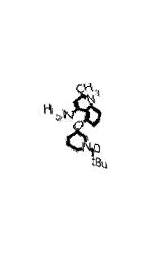 Cc1cc(N)c2c(OC3CCCN(C(=O)C(C)(C)C)C3)cccc2n1